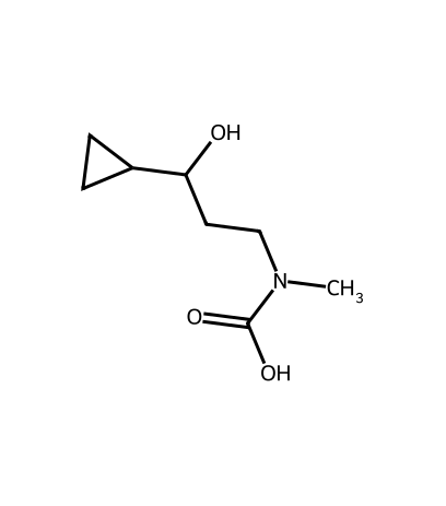 CN(CCC(O)C1CC1)C(=O)O